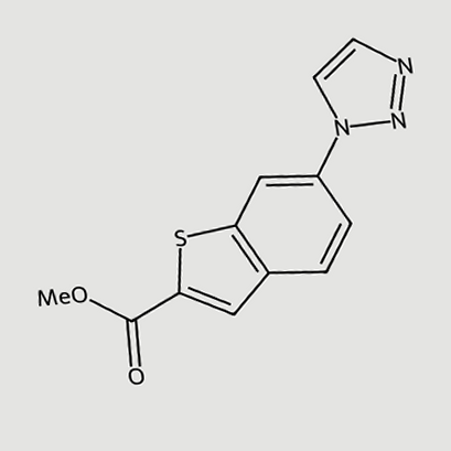 COC(=O)c1cc2ccc(-n3ccnn3)cc2s1